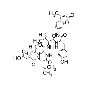 Cc1cc(=O)oc2cc(NC(=O)[C@H](Cc3ccc(O)cc3)NC(=O)[C@@H](NC(=O)[C@H](CC(C)C)NC(=O)[C@H](CC(C)C)NC(=O)CCC(=O)O)C(C)C)ccc12